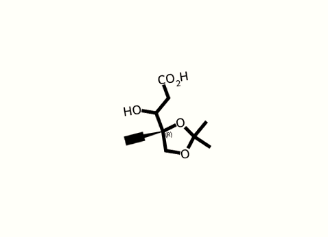 C#C[C@]1(C(O)CC(=O)O)COC(C)(C)O1